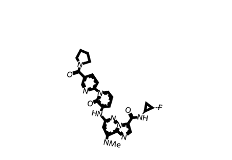 CNc1cc(Nc2cccn(-c3ccc(C(=O)N4CCCC4)cn3)c2=O)nn2c(C(=O)N[C@@H]3C[C@@H]3F)cnc12